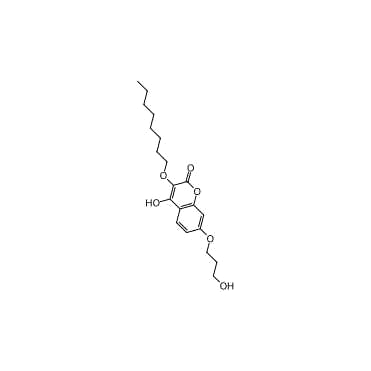 CCCCCCCCOc1c(O)c2ccc(OCCCO)cc2oc1=O